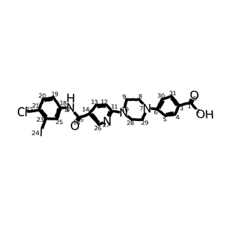 O=C(O)c1ccc(N2CCN(c3ccc(C(=O)Nc4ccc(Cl)c(I)c4)cn3)CC2)cc1